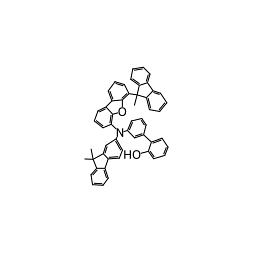 CC1(C)c2ccccc2-c2ccc(N(c3cccc(-c4ccccc4O)c3)c3cccc4c3oc3c(C5(C)c6ccccc6-c6ccccc65)cccc34)cc21